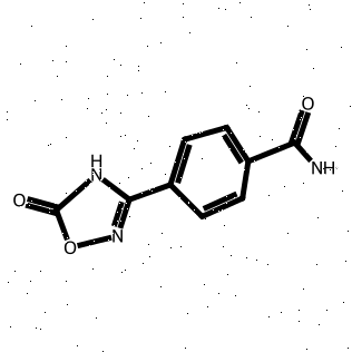 [NH]C(=O)c1ccc(-c2noc(=O)[nH]2)cc1